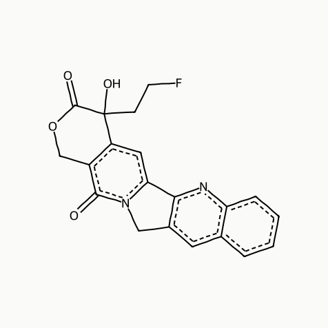 O=C1OCc2c(cc3n(c2=O)Cc2cc4ccccc4nc2-3)C1(O)CCF